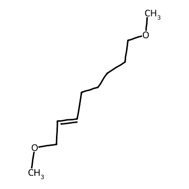 COC/C=C/CCCCCOC